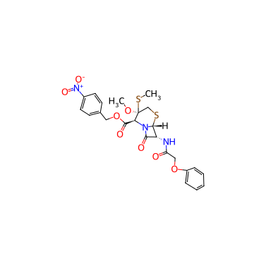 CO[C@]1(SC)CS[C@@H]2[C@H](NC(=O)COc3ccccc3)C(=O)N2[C@H]1C(=O)OCc1ccc([N+](=O)[O-])cc1